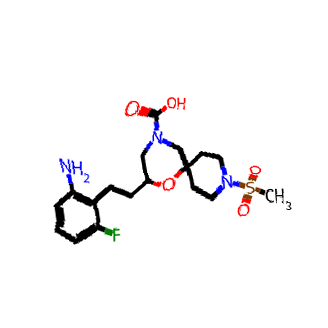 CS(=O)(=O)N1CCC2(CC1)CN(C(=O)O)CC(CCc1c(N)cccc1F)O2